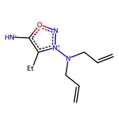 C=CCN(CC=C)[n+]1noc([NH-])c1CC